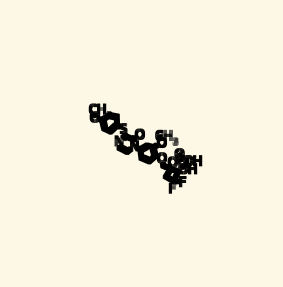 COc1ccc(Sc2nccn(-c3ccc(OCC4(OP(=O)(O)O)CC(F)(F)C4)c(OC)c3)c2=O)cc1